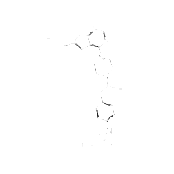 CCCCS(=O)(=O)Nc1ccc(CC(O)N2CCN(c3ncnc4sc(CC(F)(F)F)cc34)CC2)cc1